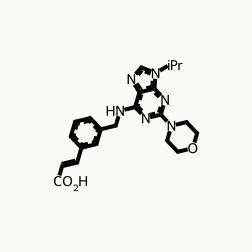 CC(C)n1cnc2c(NCc3cccc(/C=C/C(=O)O)c3)nc(N3CCOCC3)nc21